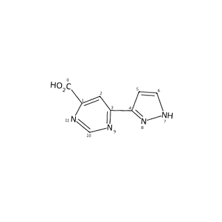 O=C(O)c1cc(-c2cc[nH]n2)ncn1